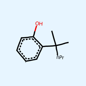 CCCC(C)(C)c1c[c]ccc1O